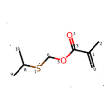 C=C(C)C(=O)OCSC(C)C